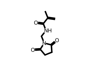 C=C(C)C(=O)NCN1C(=O)CCC1=O